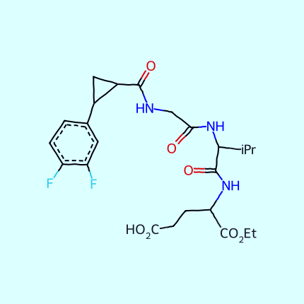 CCOC(=O)C(CCC(=O)O)NC(=O)C(NC(=O)CNC(=O)C1CC1c1ccc(F)c(F)c1)C(C)C